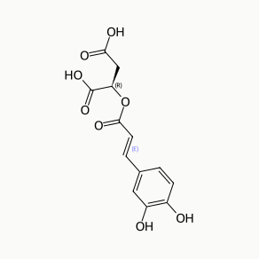 O=C(O)C[C@@H](OC(=O)/C=C/c1ccc(O)c(O)c1)C(=O)O